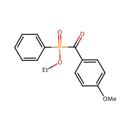 CCOP(=O)(C(=O)c1ccc(OC)cc1)c1ccccc1